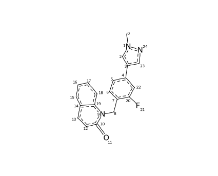 Cn1cc(-c2ccc(Cn3c(=O)ccc4ccccc43)c(F)c2)cn1